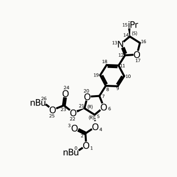 CCCCOC(=O)O[C@H]1OC(c2ccc(C3=N[C@@H](C(C)C)CO3)cc2)O[C@@H]1OC(=O)OCCCC